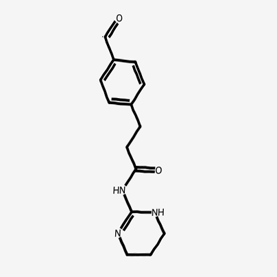 O=[C]c1ccc(CCC(=O)NC2=NCCCN2)cc1